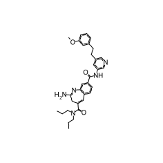 CCCN(CCC)C(=O)C1=Cc2ccc(C(=O)Nc3cncc(CCc4cccc(OC)c4)c3)cc2N=C(N)C1